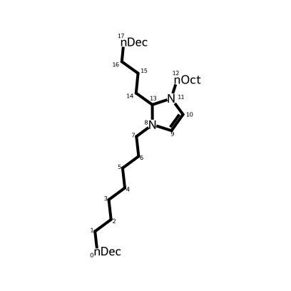 CCCCCCCCCCCCCCCCCN1C=CN(CCCCCCCC)C1CCCCCCCCCCCCC